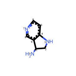 NC1CNc2ccncc21